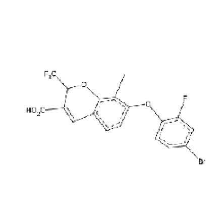 Cc1c(Oc2ccc(Br)cc2F)ccc2c1OC(C(F)(F)F)C(C(=O)O)=C2